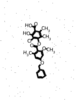 COc1cc(OCc2ccccc2)cc(C)c1C(=O)Oc1c(C)c(C)c(C(=O)O)c(O)c1Cl